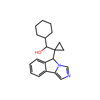 OC(C1CCCCC1)C1(C2c3ccccc3-c3cncn32)CC1